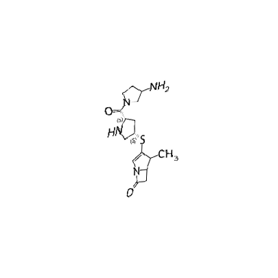 CC1C(S[C@@H]2CN[C@H](C(=O)N3CCC(N)C3)C2)=CN2C(=O)CC12